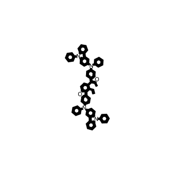 C=Cc1c(-c2c(C)oc3cc(N(c4ccccc4)c4ccc5c(c4)c4ccccc4n5-c4ccccc4)ccc23)ccc2oc3cc(N(c4ccccc4)c4ccc5c(c4)c4ccccc4n5-c4ccccc4)ccc3c12